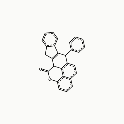 O=C1Oc2cccc3ccc4c(c23)C1C1=C(c2ccccc2C1)C4c1ccccc1